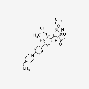 CCO[C@H]1CN(C(=O)[C@H](CC(C)C)NC(=O)c2ccc(N3CCN(CC)CC3)cc2)[C@@H]2C(=O)CO[C@H]12